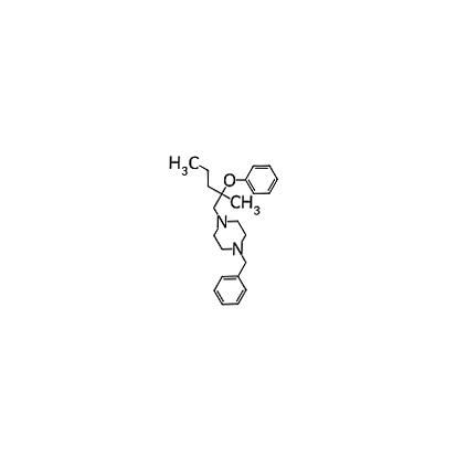 CCCC(C)(CN1CCN(Cc2ccccc2)CC1)Oc1ccccc1